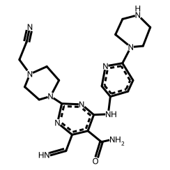 N#CCN1CCN(c2nc(C=N)c(C(N)=O)c(Nc3ccc(N4CCNCC4)nc3)n2)CC1